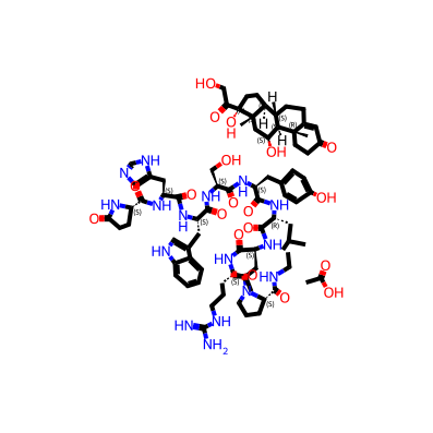 CC(=O)O.CCNC(=O)[C@@H]1CCCN1C(=O)[C@H](CCCNC(=N)N)NC(=O)[C@H](CC(C)C)NC(=O)[C@@H](CC(C)C)NC(=O)[C@H](Cc1ccc(O)cc1)NC(=O)[C@H](CO)NC(=O)[C@H](Cc1c[nH]c2ccccc12)NC(=O)[C@H](Cc1cnc[nH]1)NC(=O)[C@@H]1CCC(=O)N1.C[C@]12CCC(=O)C=C1CC[C@@H]1[C@@H]2[C@@H](O)C[C@@]2(C)[C@H]1CC[C@]2(O)C(=O)CO